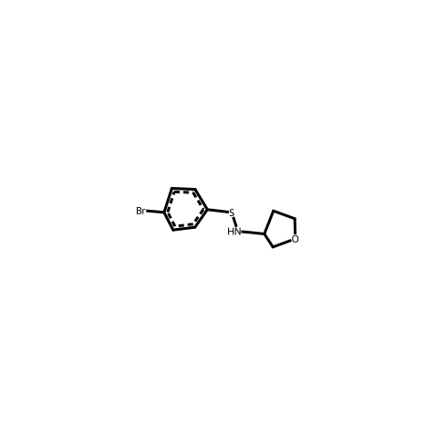 Brc1ccc(SNC2CCOC2)cc1